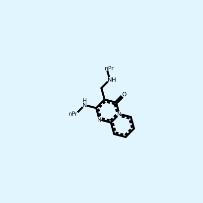 CCCNCc1c(NCCC)nc2ccccn2c1=O